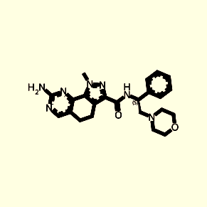 Cn1nc(C(=O)N[C@H](CN2CCOCC2)c2ccccc2)c2c1-c1nc(N)ncc1CC2